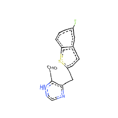 O=Cc1[nH]cnc1Cc1cc2cc(F)ccc2s1